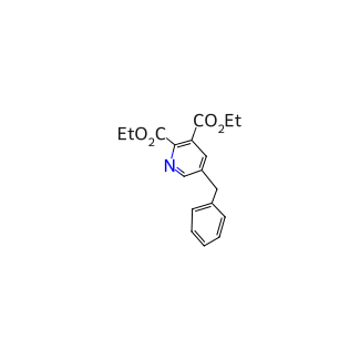 CCOC(=O)c1cc(Cc2ccccc2)cnc1C(=O)OCC